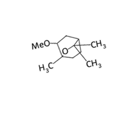 COC1CC2CCC1(C)OC2(C)C